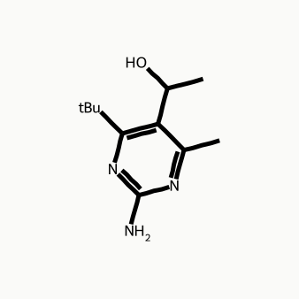 Cc1nc(N)nc(C(C)(C)C)c1C(C)O